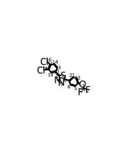 FC(F)Oc1ccc(-c2nnc(-c3ccc(Cl)c(Cl)c3)s2)cc1